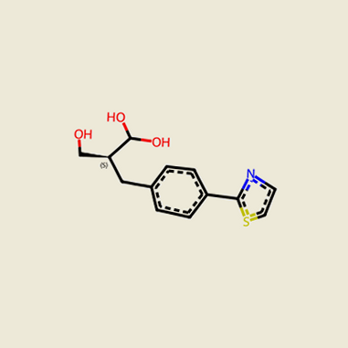 OC[C@H](Cc1ccc(-c2nccs2)cc1)C(O)O